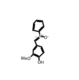 COc1cc(/C=[N+](\[O-])c2ccccc2)ccc1O